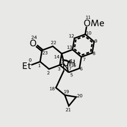 CCC1CC2(O)C3Cc4ccc(OC)cc4C2(CCN3CC2CC2)CC1=O